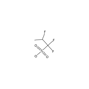 CC(F)C(F)(F)S([O])(=O)=O